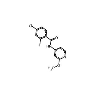 COc1cc(NC(=O)c2ccc(Cl)cc2F)ccn1